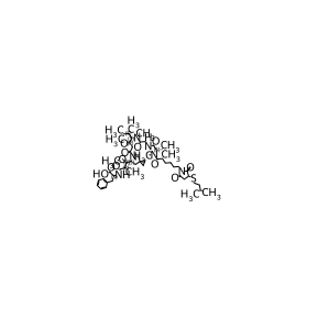 CC[C@H](C)[C@@H]([C@@H](CC(=O)N1CC2(CC2)C[C@H]1[C@H](OC)[C@@H](C)C(=O)N[C@@H](Cc1ccccc1)C(=O)O)OC)N(C)C(=O)CNC(=O)[C@H](C(C)C)N(C)C(=O)CCCCCN1C(=O)CC(SCCC(C)C)C1=O